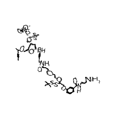 CC#CC(C)OCC1O[C@@H](BC#CCNC(=O)COCCOC(COc2cccc(C(=O)NCCN)c2)SSC(C)(C)C)C[C@H]1O[C@H](CO[N+](=O)[O-])SSC